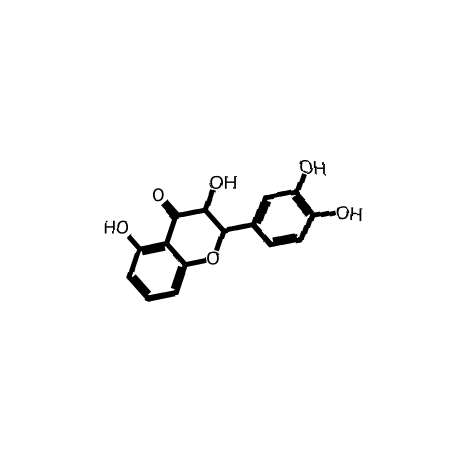 O=C1c2c(O)cccc2OC(c2ccc(O)c(O)c2)C1O